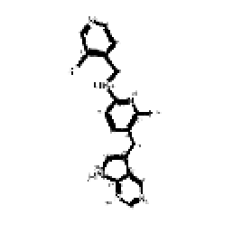 Fc1cnccc1CNc1ccc(Cc2c[nH]c3ncncc23)c(F)n1